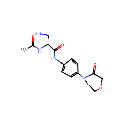 CC(=O)N[C@H](CN)C(=O)Nc1ccc(N2CCOCC2=O)cc1